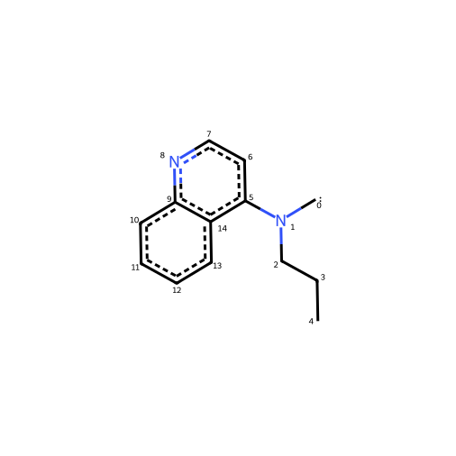 [CH]N(CCC)c1ccnc2ccccc12